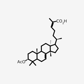 CC(=O)O[C@H]1CC[C@]2(C)C3CC[C@@]4(C)C([C@H](C)CC/C=C(/C)C(=O)O)CC[C@]4(C)C3=CCC2C1(C)C